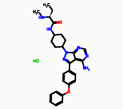 CC[C@@H](NC)C(=O)NC1CCC(n2nc(-c3ccc(Oc4ccccc4)cc3)c3c(N)ncnc32)CC1.Cl